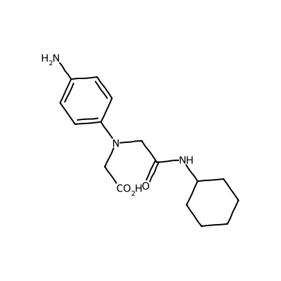 Nc1ccc(N(CC(=O)O)CC(=O)NC2CCCCC2)cc1